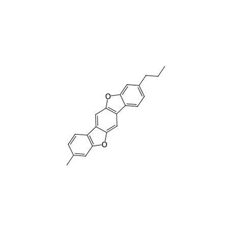 CCCc1ccc2c(c1)oc1cc3c(cc12)oc1cc(C)ccc13